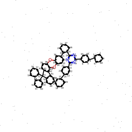 c1ccc(-c2ccc(-c3nc(-c4ccc(-c5ccccc5)cc4)nc(-c4ccccc4-c4ccc5c(c4)Oc4ccc6c(c4O5)-c4ccccc4C6(c4ccccc4)c4ccccc4)n3)cc2)cc1